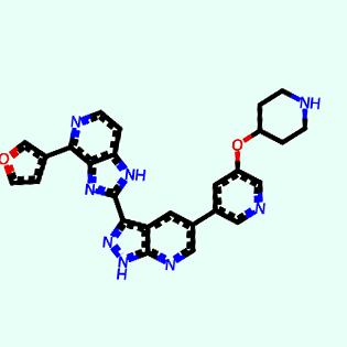 c1cc2[nH]c(-c3n[nH]c4ncc(-c5cncc(OC6CCNCC6)c5)cc34)nc2c(-c2ccoc2)n1